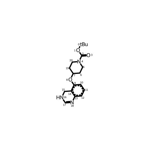 CC(C)(C)OC(=O)N1CCC(Oc2cccc3c2CNC=N3)CC1